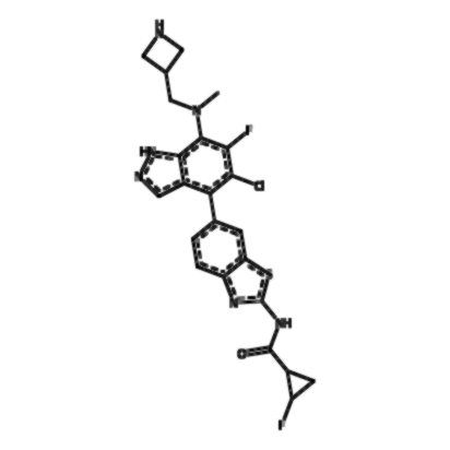 CN(CC1CNC1)c1c(F)c(Cl)c(-c2ccc3nc(NC(=O)C4CC4F)sc3c2)c2cn[nH]c12